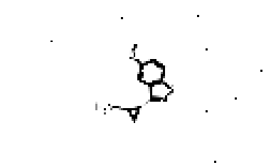 COc1ccc2scc([C@@H]3C[C@H]3N)c2c1